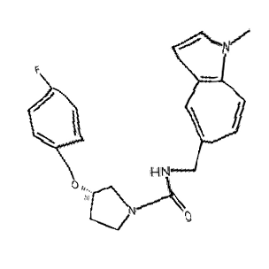 Cn1ccc2cc(CNC(=O)N3CC[C@H](Oc4ccc(F)cc4)C3)ccc21